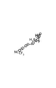 Cn1c(C2CCN(CCCOc3ccc(C4CCN(c5ccc(C#N)c(C(F)(F)F)c5)CC4)cc3)CC2)cc2c(F)cc(N3CCC(=O)NC3=O)cc21